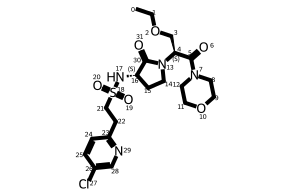 CCOC[C@@H](C(=O)N1CCOCC1)N1CC[C@H](NS(=O)(=O)CCc2ccc(Cl)cn2)C1=O